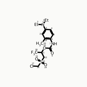 CCN(CC)c1ccc(NC(=O)OC(CS(=O)(=O)CCl)C(F)(F)F)c(C)c1